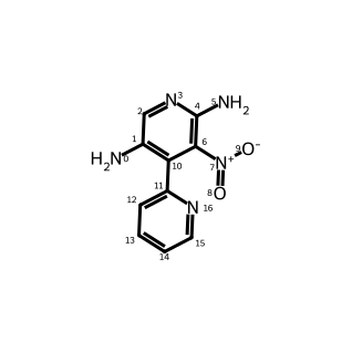 Nc1cnc(N)c([N+](=O)[O-])c1-c1ccccn1